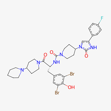 O=C(N[C@H](Cc1cc(Br)c(O)c(Br)c1)C(=O)N1CCC(N2CCCCC2)CC1)N1CCC(n2cc(-c3ccc(F)cc3)[nH]c2=O)CC1